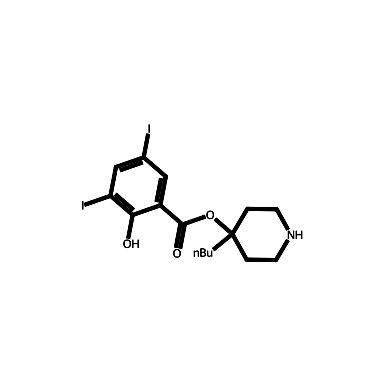 CCCCC1(OC(=O)c2cc(I)cc(I)c2O)CCNCC1